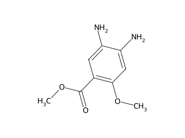 COC(=O)c1cc(N)c(N)cc1OC